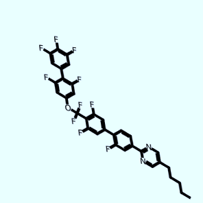 CCCCCc1cnc(-c2ccc(-c3cc(F)c(C(F)(F)Oc4cc(F)c(-c5cc(F)c(F)c(F)c5)c(F)c4)c(F)c3)c(F)c2)nc1